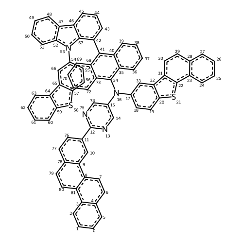 c1ccc2c(c1)ccc1c3cc(-c4ncc(N(c5ccc6sc7c8ccccc8ccc7c6c5)c5c6ccccc6c(-c6cccc7c8ccccc8n(-c8ccc9sc%10ccccc%10c9c8)c67)c6ccccc56)cn4)ccc3ccc21